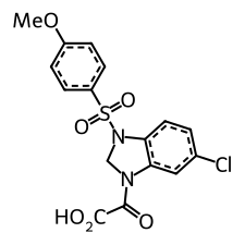 COc1ccc(S(=O)(=O)N2CN(C(=O)C(=O)O)c3cc(Cl)ccc32)cc1